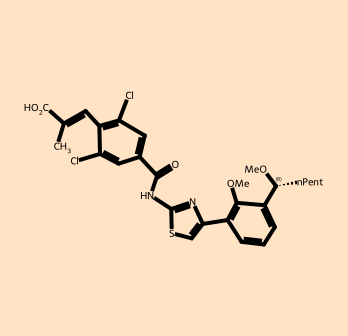 CCCCC[C@@H](OC)c1cccc(-c2csc(NC(=O)c3cc(Cl)c(C=C(C)C(=O)O)c(Cl)c3)n2)c1OC